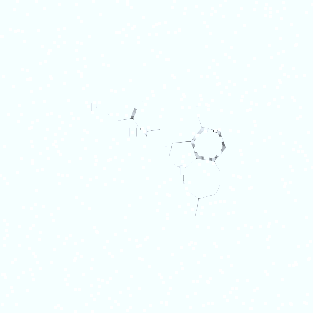 CC1COc2ccc(Cl)c3c2B(O1)O[C@@H]3CNC(=O)OC(C)(C)C